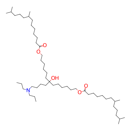 CCCN(CCC)CCCCC(O)(CCCCCCOC(=O)CCCCCCC(C)CCCC(C)C)CCCCCCOC(=O)CCCCCCC(C)CCCC(C)C